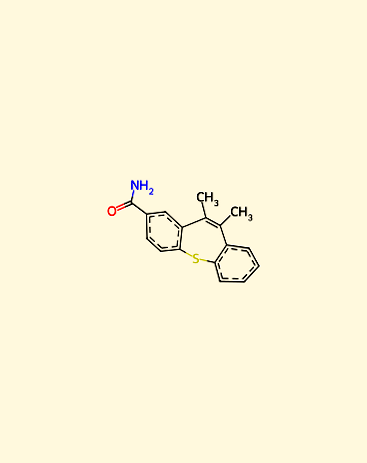 CC1=C(C)c2cc(C(N)=O)ccc2Sc2ccccc21